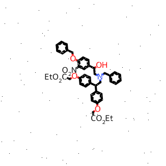 CCOC(=O)COc1ccc(C(CN(Cc2ccccc2)CC(O)c2ccc(OCc3ccccc3)c([N+](=O)[O-])c2)c2ccc(OCC(=O)OCC)cc2)cc1